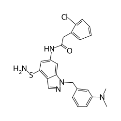 CN(C)c1cccc(Cn2ncc3c(SN)cc(NC(=O)Cc4ccccc4Cl)cc32)c1